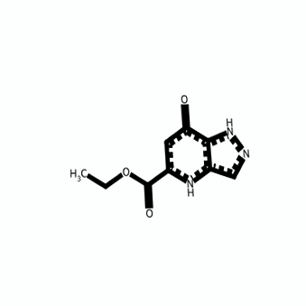 CCOC(=O)c1cc(=O)c2[nH]ncc2[nH]1